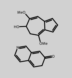 COC1=CC2=CC=CC2=C(OC)CC1O.O=C1C=c2cnccc2=CC1